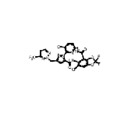 NC(=O)c1c(NC(=O)c2cc(CN3N=CCC(C(F)(F)F)=N3)nn2-c2ncccc2Cl)c(Cl)cc2c1OC(F)(F)O2